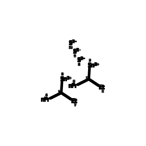 CCC[CH]([Sn+3])CC.CCC[CH]([Sn+3])CC.[S-2].[S-2].[S-2]